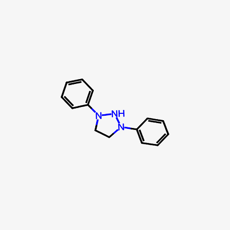 c1ccc(N2CCN(c3ccccc3)N2)cc1